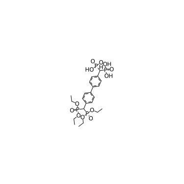 CCOP(=O)(OCC)C(c1ccc(-c2ccc(C(P(=O)(O)O)P(=O)(O)O)cc2)cc1)P(=O)(OCC)OCC